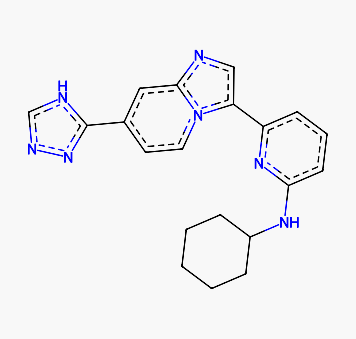 c1cc(NC2CCCCC2)nc(-c2cnc3cc(-c4nnc[nH]4)ccn23)c1